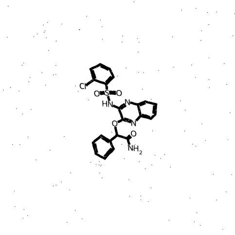 NC(=O)C(Oc1nc2ccccc2nc1NS(=O)(=O)c1ccccc1Cl)c1ccccc1